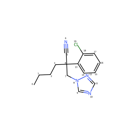 CCCCC(C#N)(Cn1cncn1)c1ccccc1Cl